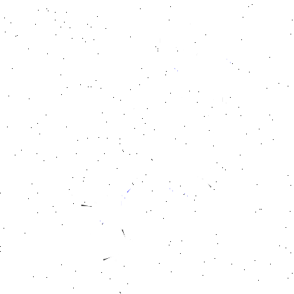 CCn1c(-c2cccnc2[C@H](C)OC)c2c3cc(ccc31)-c1cccc(c1)C[C@H](NC(=O)[C@H](C(C)C)N(C)C(=O)[C@H]1OCC[C@H]1c1ccccc1)C(=O)N1CCC[C@H](N1)C(=O)OCC(C)(C)C2